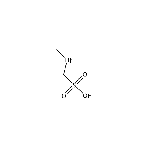 [CH3][Hf][CH2]S(=O)(=O)O